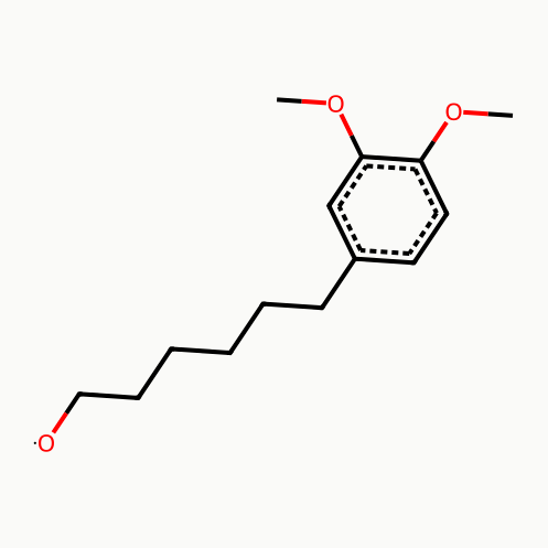 COc1ccc(CCCCCC[O])cc1OC